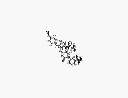 Cc1cc(Cn2c(Cc3ccc(C#N)cc3)cnc2OC(=O)C(F)(F)F)ccc1-c1cccc(C(F)(F)F)c1